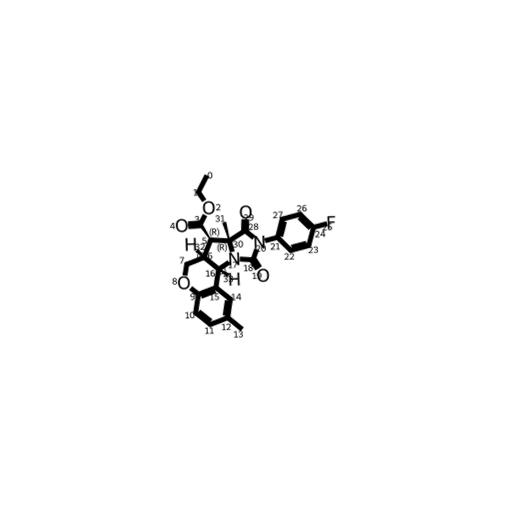 CCOC(=O)[C@@H]1[C@H]2COc3ccc(C)cc3[C@H]2N2C(=O)N(c3ccc(F)cc3)C(=O)[C@@]12C